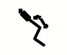 CCCC#N.CCC[N]